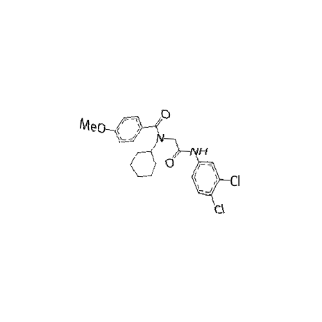 COc1ccc(C(=O)N(CC(=O)Nc2ccc(Cl)c(Cl)c2)C2CCCCC2)cc1